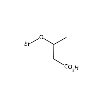 CCOC(C)CC(=O)O